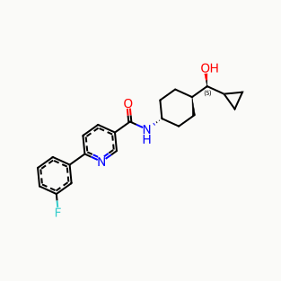 O=C(N[C@H]1CC[C@H]([C@@H](O)C2CC2)CC1)c1ccc(-c2cccc(F)c2)nc1